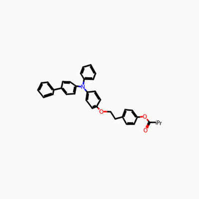 CC(C)C(=O)Oc1ccc(CCOc2ccc(N(c3ccccc3)c3ccc(-c4ccccc4)cc3)cc2)cc1